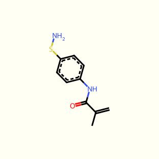 C=C(C)C(=O)Nc1ccc(SN)cc1